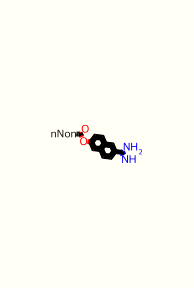 CCCCCCCCCC(=O)Oc1ccc2cc(C(=N)N)ccc2c1